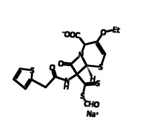 CCOC1=CS[C@@H]2N(C(=O)C2(NC(=O)Cc2cccs2)C(=S)SC=O)C1C(=O)[O-].[Na+]